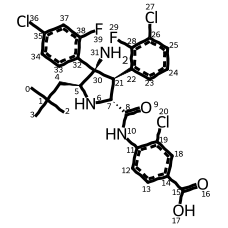 CC(C)(C)C[C@@H]1N[C@@H](C(=O)Nc2ccc(C(=O)O)cc2Cl)[C@H](c2cccc(Cl)c2F)[C@@]1(N)c1ccc(Cl)cc1F